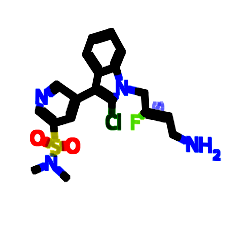 CN(C)S(=O)(=O)c1cncc(-c2c(Cl)n(C/C(F)=C/CN)c3ccccc23)c1